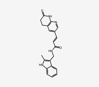 Cc1[nH]c2ccccc2c1CNC(=O)C=Cc1cnc2c(c1)CCC(=O)N2